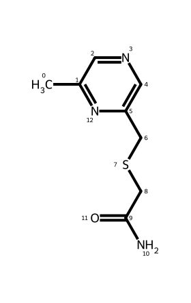 Cc1cncc(CSCC(N)=O)n1